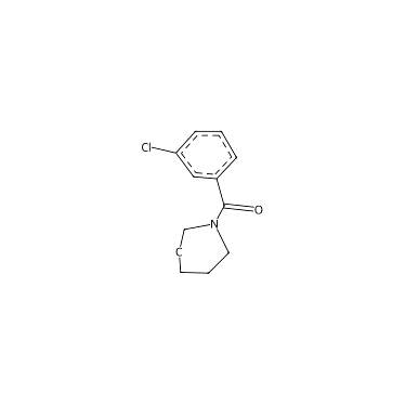 O=C(c1cccc(Cl)c1)N1CCCCC1